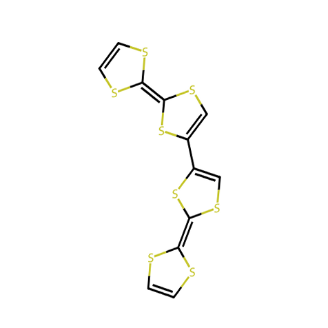 C1=CSC(=C2SC=C(C3=CSC(=C4SC=CS4)S3)S2)S1